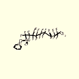 O=S(=O)(O[n+]1ccccc1)C(F)(F)C(F)(F)C(F)(F)C(F)(F)C(F)(F)C(F)(F)C(F)(F)C(F)(F)C(F)(F)C(F)(F)F